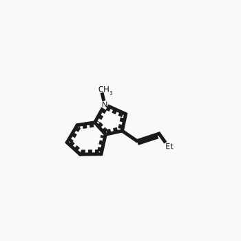 CCC=Cc1cn(C)c2ccccc12